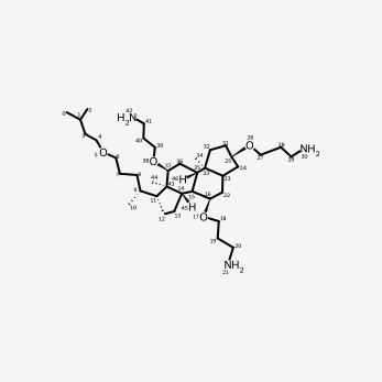 CC(C)CCOCCC[C@@H](C)[C@H]1CC[C@H]2C3[C@H](OCCCN)CC4C[C@H](OCCCN)CC[C@]4(C)[C@H]3C[C@H](OCCCN)[C@]12C